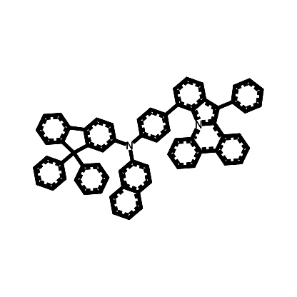 c1ccc(-c2c3cccc(-c4ccc(N(c5ccc6c(c5)C(c5ccccc5)(c5ccccc5)c5ccccc5-6)c5ccc6ccccc6c5)cc4)c3n3c4ccccc4c4ccccc4c23)cc1